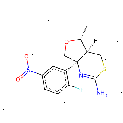 C[C@H]1OC[C@]2(c3cc([N+](=O)[O-])ccc3F)N=C(N)SC[C@H]12